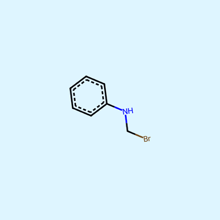 BrCNc1ccccc1